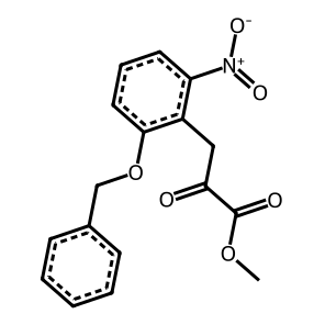 COC(=O)C(=O)Cc1c(OCc2ccccc2)cccc1[N+](=O)[O-]